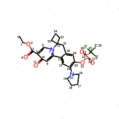 CCOC(=O)c1cn2c(cc1=O)-c1cc(N3CCCC3)c(OS(=O)(=O)C(F)(F)F)cc1CC21CCC1